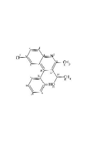 Cc1nc2ccc(Cl)cc2c(-c2ccccc2)c1C(C)O